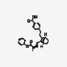 CN(N=C[C@H]1[C@@H](CCc2ccc(C(=O)O)cc2)[C@H]2CC[C@@H]1O2)C(=O)Oc1ccccc1